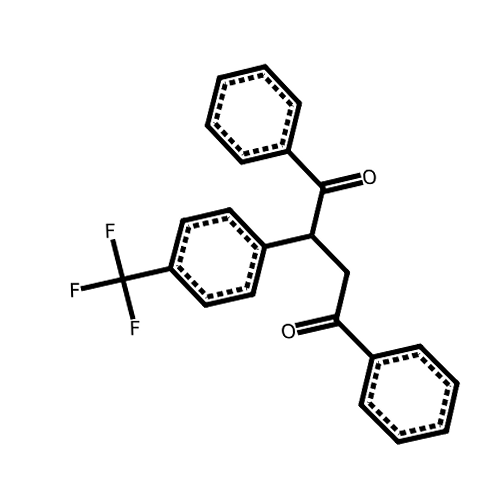 O=C(CC(C(=O)c1ccccc1)c1ccc(C(F)(F)F)cc1)c1ccccc1